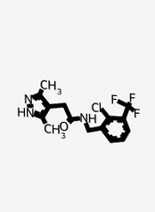 Cc1n[nH]c(C)c1CC(=O)NCc1cccc(C(F)(F)F)c1Cl